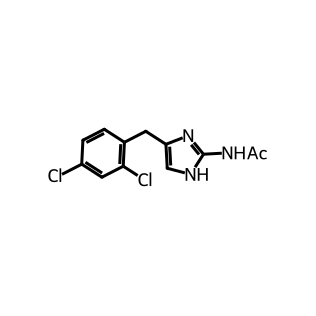 CC(=O)Nc1nc(Cc2ccc(Cl)cc2Cl)c[nH]1